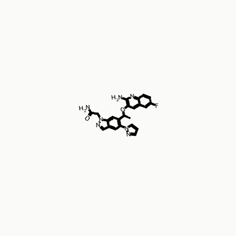 CC(Oc1cc2cc(F)ccc2nc1N)c1cc2c(cnn2CC(N)=O)cc1-n1cccn1